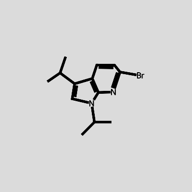 CC(C)c1cn(C(C)C)c2nc(Br)ccc12